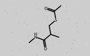 CNC(=O)C(C)CSC(C)=O